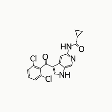 O=C(c1c(Cl)cccc1Cl)c1c[nH]c2cnc(NC(=O)C3CC3)cc12